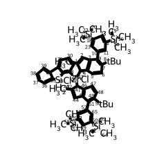 CC1=Cc2c(ccc(C(C)(C)C)c2-c2cc([Si](C)(C)C)cc([Si](C)(C)C)c2)[CH]1[Zr]([Cl])([Cl])([c]1cccc2c1[SiH2]c1ccccc1-2)[CH]1C(C)=Cc2c1ccc(C(C)(C)C)c2-c1cc([Si](C)(C)C)cc([Si](C)(C)C)c1